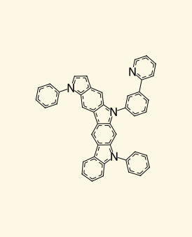 c1ccc(-n2ccc3cc4c(cc32)c2cc3c5ccccc5n(-c5ccccc5)c3cc2n4-c2cccc(-c3ccccn3)c2)cc1